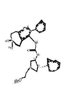 COCCN1C[C@@H](NC(=O)Nc2c3c(nn2-c2ccccc2)CS(O)(O)C3)[C@H](c2ccccc2)C1